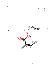 CCC=C(C)C(=O)OOCCCCC